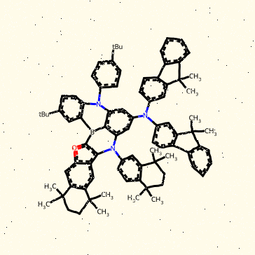 CC(C)(C)c1ccc(N2c3ccc(C(C)(C)C)cc3B3c4oc5cc6c(cc5c4N(c4ccc5c(c4)C(C)(C)CCC5(C)C)c4cc(N(c5ccc7c(c5)C(C)(C)c5ccccc5-7)c5ccc7c(c5)C(C)(C)c5ccccc5-7)cc2c43)C(C)(C)CCC6(C)C)cc1